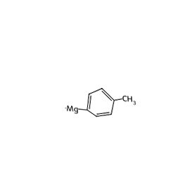 Cc1cc[c]([Mg])cc1